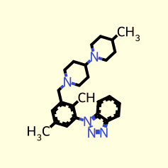 Cc1cc(CN2CCC(N3CCC(C)CC3)CC2)c(C)c(-n2nnc3ccccc32)c1